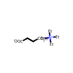 CC[N+](CC)(CC)CC.O=C([O-])CCC(=O)O